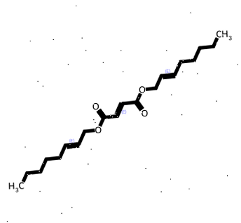 CCCCC/C=C/COC(=O)/C=C/C(=O)OC/C=C/CCCCC